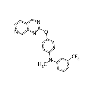 CN(c1ccc(Oc2ncc3ccncc3n2)cc1)c1cccc(C(F)(F)F)c1